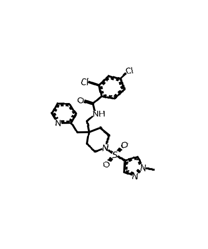 Cn1cc(S(=O)(=O)N2CCC(CNC(=O)c3ccc(Cl)cc3Cl)(Cc3ccccn3)CC2)cn1